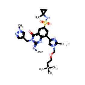 CCOC(=O)c1nc(-c2cc(S(=O)(=O)NC3(C)CC3)cc3c(=O)n(Cc4cnn(C)c4)/c(=N/OC)[nH]c23)cn1COCC[Si](C)(C)C